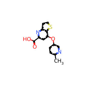 Cc1ccc(Oc2cc(C(=O)O)nc3ccsc23)cn1